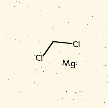 ClCCl.[Mg]